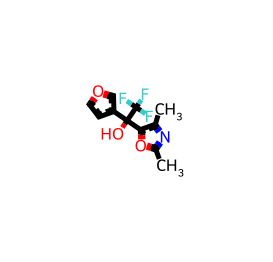 Cc1nc(C)c(C(O)(c2ccoc2)C(F)(F)F)o1